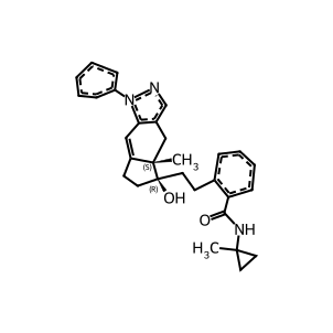 CC1(NC(=O)c2ccccc2CC[C@]2(O)CCC3=Cc4c(cnn4-c4ccccc4)C[C@@]32C)CC1